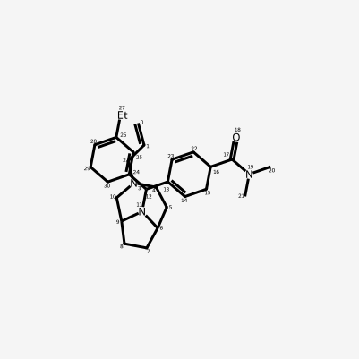 C=CCN1CCC2CCC(C1)N2C(C1=CCC(C(=O)N(C)C)C=C1)C1=CC(CC)=CCC1